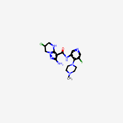 CN1CCN(c2c(F)cncc2NC(=O)c2c(N)nn3c2NCC(Cl)C3)CC1